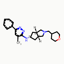 FC(F)(F)c1cc(-c2ccccc2)nnc1N[C@@H]1C[C@@H]2CN(CC3CCOCC3)C[C@@H]2C1